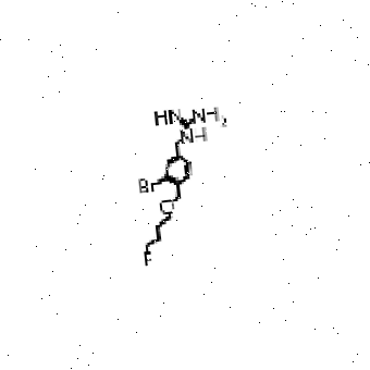 N=C(N)NCc1ccc(COCCCCF)c(Br)c1